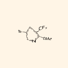 COc1ncc(Br)cc1C(F)(F)F